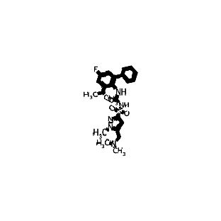 CC(C)c1cc(F)cc(-c2ccccc2)c1NC(=O)NS(=O)(=O)c1cc(CN(C)C)n(C)n1